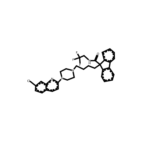 O=C(NCC(F)(F)F)C1(CCCCN2CCN(c3ccc4ccc(Cl)cc4n3)CC2)c2ccccc2-c2ccccc21